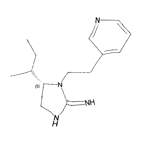 CCC(C)[C@H]1CNC(=N)N1CCc1cccnc1